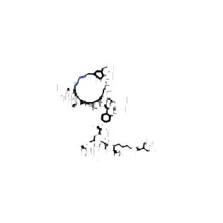 COc1cc2cc(c1Cl)N(C)C(=O)C[C@H](OC(=O)[C@H](C)N(C)C(=O)c1ccc(NC(=O)[C@H](CCCNC(N)=O)NC(=O)[C@@H](NC(C=O)CCCCOC(=O)C(CBr)CBr)C(C)C)cc1F)[C@]1(C)O[C@H]1[C@H](C)[C@@H]1C[C@@](O)(NC(=O)O1)[C@H](OC)/C=C/C=C(\C)C2